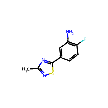 Cc1nsc(-c2ccc(F)c(N)c2)n1